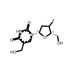 O=c1[nH]c(=O)n([C@@H]2CC(F)[C@H](CO)O2)cc1CO